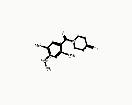 CNc1cc(C(=O)N2CCC(=O)CC2)c(OC)cc1NN